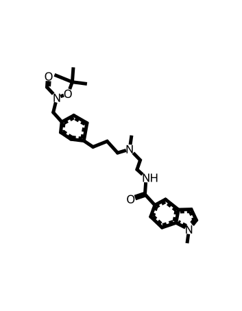 CN(CCCc1ccc(CN(C=O)OC(C)(C)C)cc1)CCNC(=O)c1ccc2c(ccn2C)c1